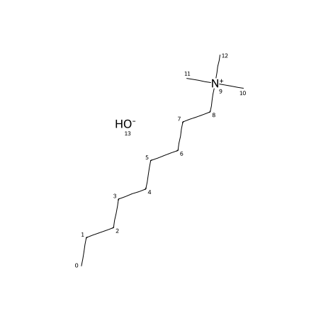 CCCCCCCCC[N+](C)(C)C.[OH-]